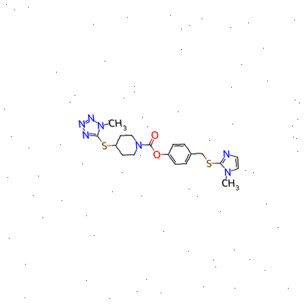 Cn1ccnc1SCc1ccc(OC(=O)N2CCC(Sc3nnnn3C)CC2)cc1